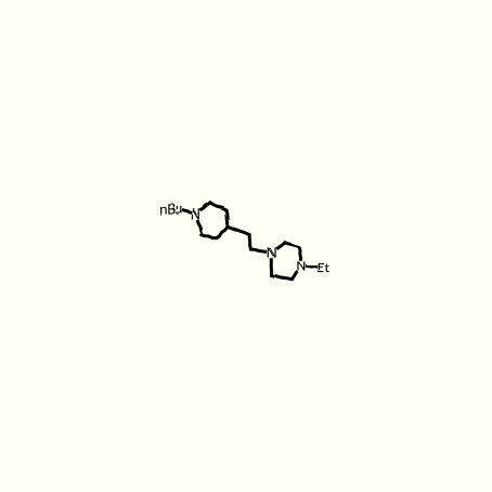 CCCCN1CCC(CCN2CCN(CC)CC2)CC1